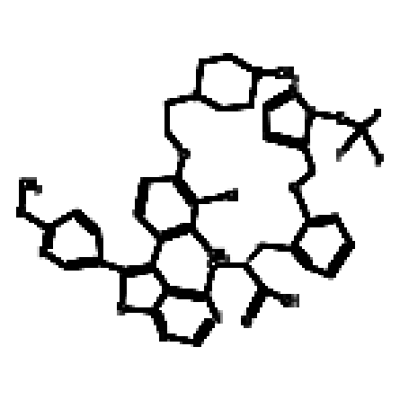 COc1ccc(-c2sc3ncnc(O[C@H](Cc4ccccc4OCc4ccnn4CC(F)(F)F)C(=O)O)c3c2-c2ccc(OCCN3CCN(C)CC3)c(Cl)c2C)cn1